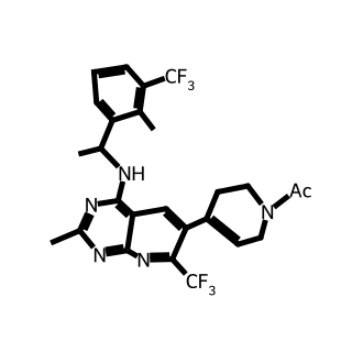 CC(=O)N1CC=C(c2cc3c(NC(C)c4cccc(C(F)(F)F)c4C)nc(C)nc3nc2C(F)(F)F)CC1